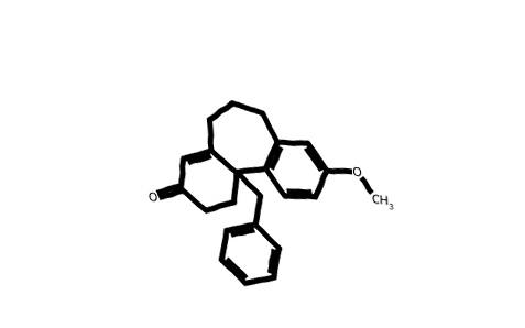 COc1ccc2c(c1)CCCC1=CC(=O)CCC12Cc1ccccc1